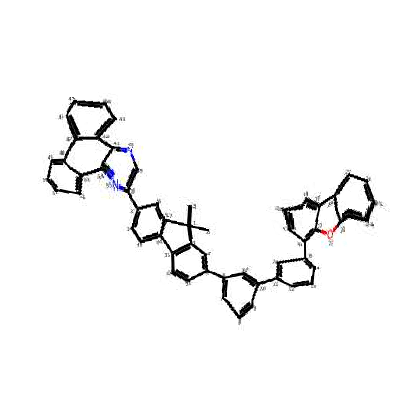 CC1(C)c2cc(-c3cccc(-c4cccc(-c5cccc6c5oc5ccccc56)c4)c3)ccc2-c2ccc(-c3cnc4c5ccccc5c5ccccc5c4n3)cc21